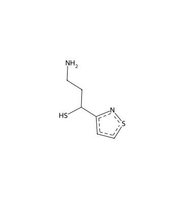 NCCC(S)c1ccsn1